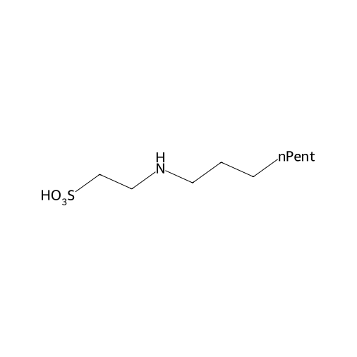 CCCCCCCCNCCS(=O)(=O)O